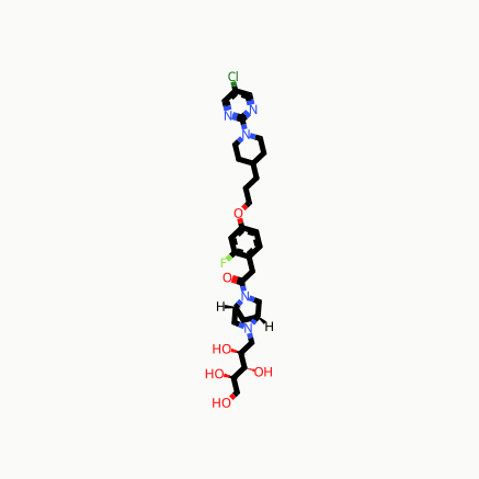 O=C(Cc1ccc(OCCCC2CCN(c3ncc(Cl)cn3)CC2)cc1F)N1C[C@H]2C[C@@H]1CN2C[C@H](O)[C@H](O)[C@H](O)CO